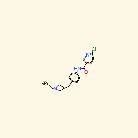 C[C](C)CN1CC(Cc2ccc(NC(=O)c3ccc(Cl)nc3)cc2)C1